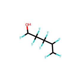 OC(F)C(F)(F)C(F)(F)C(F)C(F)F